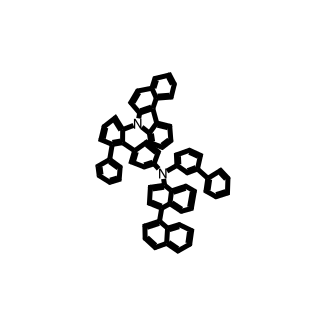 c1ccc(-c2cccc(N(c3ccc(-c4c(-c5ccccc5)cccc4-n4c5ccccc5c5c6ccccc6ccc54)cc3)c3ccc(-c4cccc5ccccc45)c4ccccc34)c2)cc1